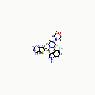 Fc1ccc2[nH]ccc2c1C1CN(N2CCOCC2)CCN1Cc1cc2ncncc2s1